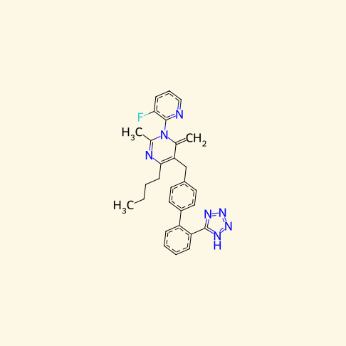 C=C1C(Cc2ccc(-c3ccccc3-c3nnn[nH]3)cc2)=C(CCCC)N=C(C)N1c1ncccc1F